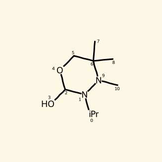 CC(C)N1C(O)OCC(C)(C)N1C